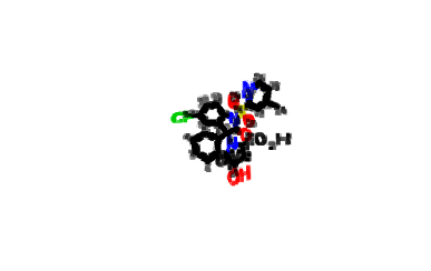 COc1ccccc1C1(N2C[C@H](O)C[C@H]2C(=O)O)C(=O)N(S(=O)(=O)c2cc(C)ccn2)c2ccc(Cl)cc21